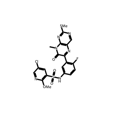 COc1ncc(Cl)cc1S(=O)(=O)Nc1ccc(F)c(-c2nc3cnc(SC)nc3n(C)c2=O)c1